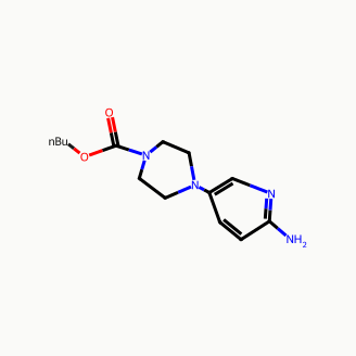 CCCCOC(=O)N1CCN(c2ccc(N)nc2)CC1